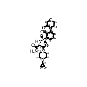 NC(=O)[C@H](NS(=O)(=O)c1cccc(N2CCOCC2=O)c1Cl)C(=O)N1CCN(C2CC2)CC1